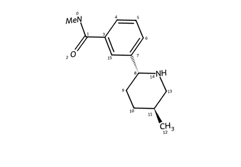 CNC(=O)c1cccc([C@H]2CC[C@H](C)CN2)c1